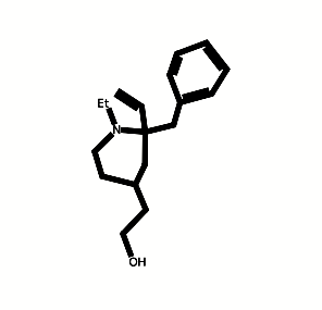 C=CC1(Cc2ccccc2)CC(CCO)CCN1CC